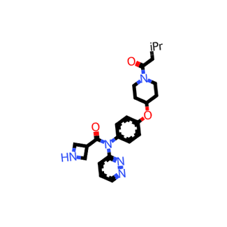 CC(C)CC(=O)N1CCC(Oc2ccc(N(C(=O)C3CNC3)c3cccnn3)cc2)CC1